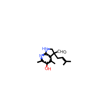 CC(C)=CCC1(C=O)CNc2nc(C)c(O)c(C)c21